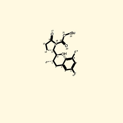 C[C@@H](Cc1cc(F)cc(F)c1)[C@H](O)[C@@H]1CCC(=O)N1C(=O)OC(C)(C)C